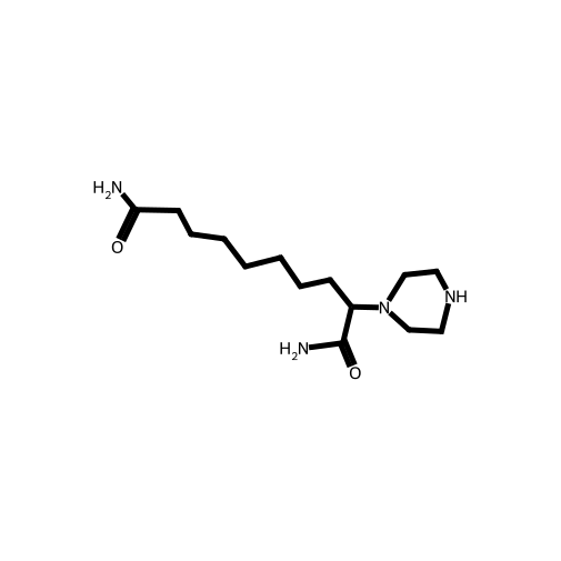 NC(=O)CCCCCCCC(C(N)=O)N1CCNCC1